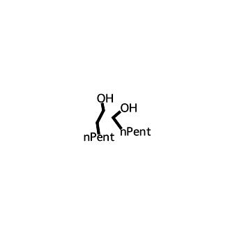 CCCCCCCO.CCCCCCO